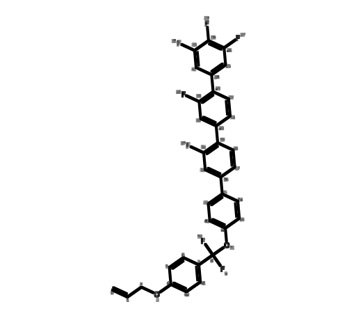 C=CCOc1ccc(C(F)(F)Oc2ccc(-c3ccc(-c4ccc(-c5cc(F)c(F)c(F)c5)c(F)c4)c(F)c3)cc2)cc1